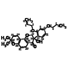 C=CCOc1cc(OCCC)ccc1C1(O)COc2c(ccc3c2C=CC(C)(C)O3)C1=O